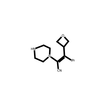 CC(C)C(=C(C#N)N1CCNCC1)C1COC1